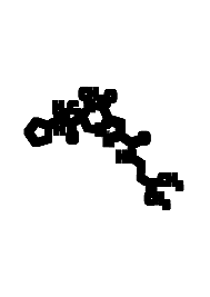 CN(C)CCNC(=O)c1cc2n(n1)CC(C)(C(=O)NC1CCCC1)N(C)C2=O